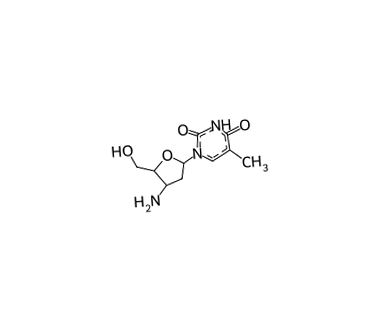 Cc1cn(C2CC(N)C(CO)O2)c(=O)[nH]c1=O